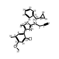 C#CCN(c1nc(-c2cc(C)c(OC)cc2Cl)c(C)s1)[C@H](c1ccccc1)C1CC1